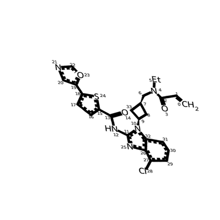 C=CC(=O)N(CC)C[C@H]1C[C@@H](n2c(NC(=O)c3ccc(-c4cnco4)s3)nc3c(Cl)cccc32)C1